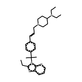 CCc1nc2cccnc2n1C(C)(C)c1ccc(C=CCN2CCC(N(CC)CC)CC2)cc1